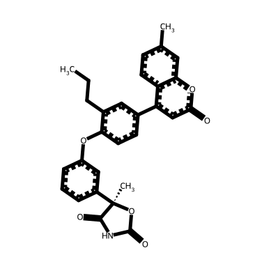 CCCc1cc(-c2cc(=O)oc3cc(C)ccc23)ccc1Oc1cccc([C@@]2(C)OC(=O)NC2=O)c1